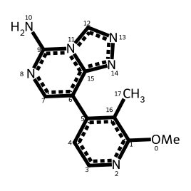 COc1nccc(-c2cnc(N)n3cnnc23)c1C